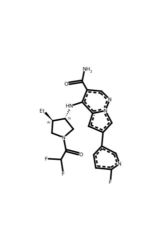 CC[C@@H]1CN(C(=O)C(F)F)C[C@H]1Nc1c(C(N)=O)cnn2cc(-c3ccc(F)nc3)cc12